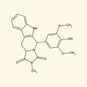 COc1cc(C2c3[nH]c4ccccc4c3CC3C(=O)N(C)C(=S)N32)cc(OC)c1O